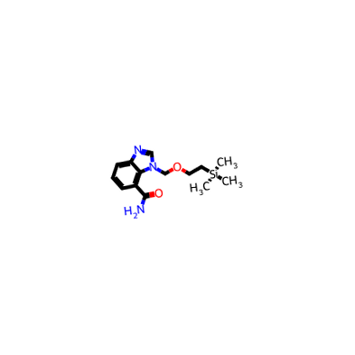 C[Si](C)(C)CCOCn1cnc2cccc(C(N)=O)c21